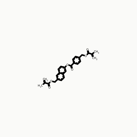 C=C(C)C(=O)OCc1ccc(C(=O)Oc2ccc3cc(COC(=O)C(=C)C)ccc3c2)cc1